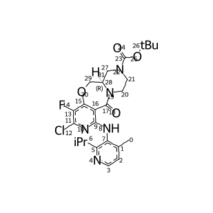 Cc1ccnc(C(C)C)c1Nc1nc(Cl)c(F)c2c1C(=O)N1CCN(C(=O)OC(C)(C)C)C[C@@H]1CO2